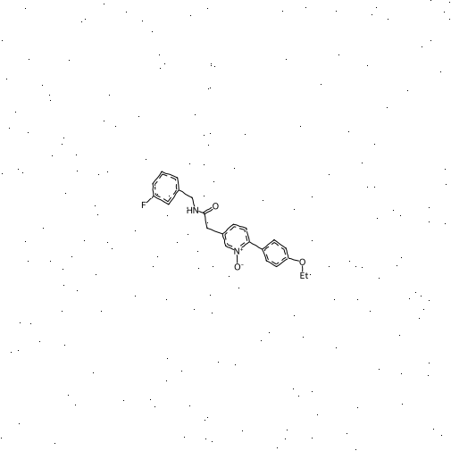 CCOc1ccc(-c2ccc(CC(=O)NCc3cccc(F)c3)c[n+]2[O-])cc1